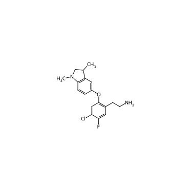 CC1CN(C)c2ccc(Oc3cc(Cl)c(F)cc3CCN)cc21